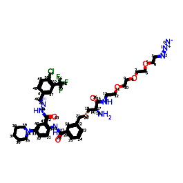 [N-]=[N+]=NCCOCCOCCOCCNC(=O)[C@@H](N)CSCc1cccc(C(=O)Nc2ccc(N3CCCCC3)cc2C(=O)N/N=C/c2ccc(Cl)c(C(F)(F)F)c2)c1